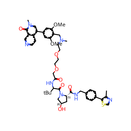 COc1cc(-c2cn(C)c(=O)c3cnccc23)cc(OC)c1CN(C)CCOCCOCC(=O)NC(C(=O)N1C[C@H](O)C[C@H]1C(=O)NCc1ccc(-c2scnc2C)cc1)C(C)(C)C